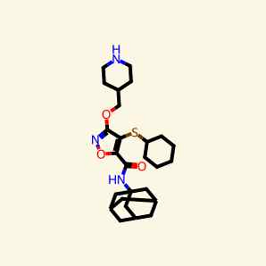 O=C(NC12CC3CC(CC(C3)C1)C2)c1onc(OCC2CCNCC2)c1SC1CCCCC1